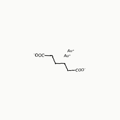 O=C([O-])CCCCC(=O)[O-].[Au+].[Au+]